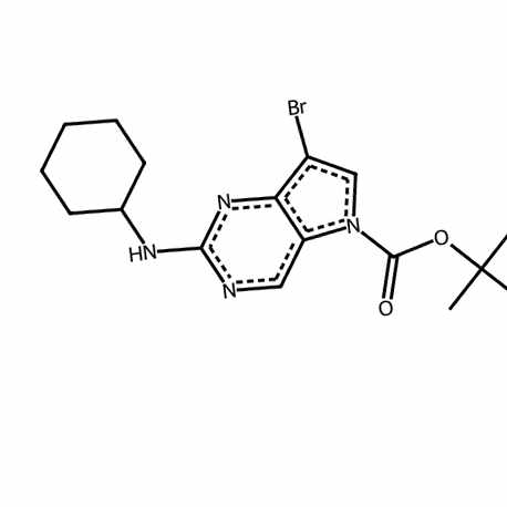 CC(C)(C)OC(=O)n1cc(Br)c2nc(NC3CCCCC3)ncc21